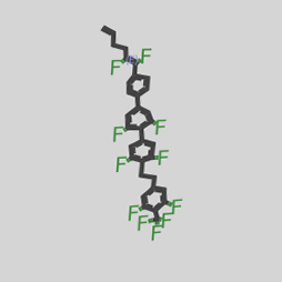 C=CCC/C(F)=C(\F)c1ccc(-c2cc(F)c(-c3cc(F)c(CCc4cc(F)c(C(F)(F)F)c(F)c4)c(F)c3)c(F)c2)cc1